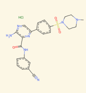 CN1CCN(S(=O)(=O)c2ccc(-c3cnc(N)c(C(=O)Nc4cccc(C#N)c4)n3)cc2)CC1.Cl